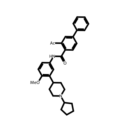 COc1ccc(NC(=O)c2ccc(-c3ccccc3)cc2C(C)=O)cc1C1CCN(C2CCCC2)CC1